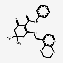 CC1(C)CC(=O)C(C(=S)Nc2ccccc2)=C(NCc2ccnc3c2OCCO3)C1